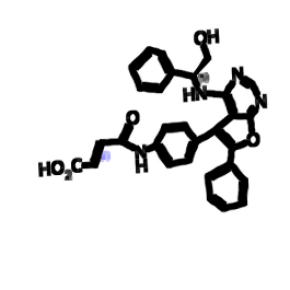 O=C(O)/C=C/C(=O)Nc1ccc(-c2c(-c3ccccc3)oc3ncnc(N[C@H](CO)c4ccccc4)c23)cc1